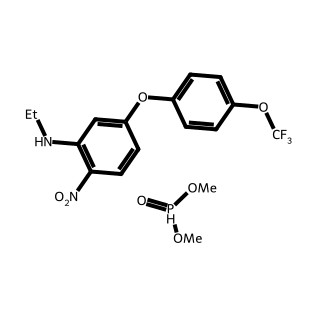 CCNc1cc(Oc2ccc(OC(F)(F)F)cc2)ccc1[N+](=O)[O-].CO[PH](=O)OC